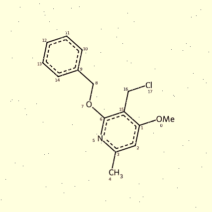 COc1cc(C)nc(OCc2ccccc2)c1CCl